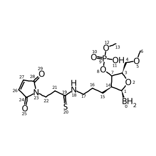 B[C@@H]1O[C@H](COC)C(OP(=O)(O)OC)[C@@H]1CCCNC(=S)CCN1C(=O)C=CC1=O